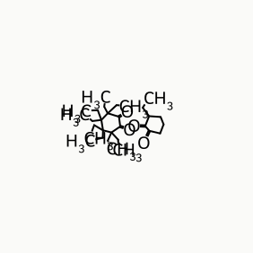 CCC1(CC)C(=O)C(=O)C(CC)(CC)C(CC)(CC)C1(CC)CC.CCC1CCCC(=O)C1=O